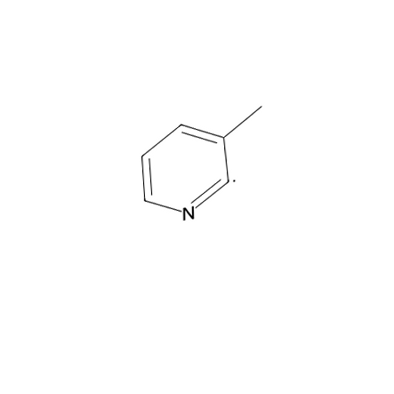 Cc1[c]nccc1